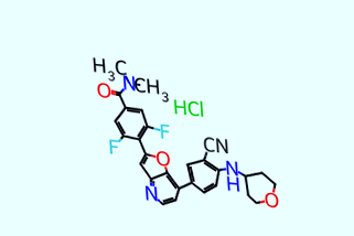 CN(C)C(=O)c1cc(F)c(-c2cc3nccc(-c4ccc(NC5CCOCC5)c(C#N)c4)c3o2)c(F)c1.Cl